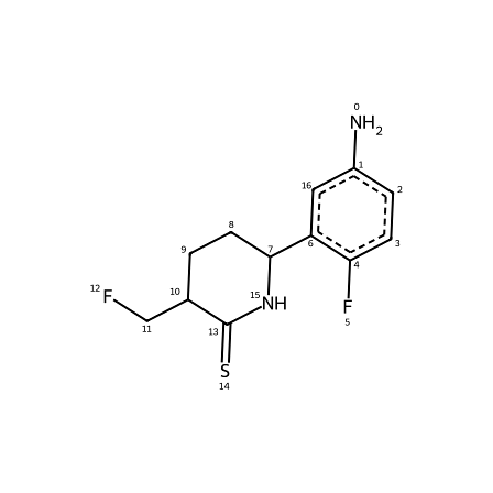 Nc1ccc(F)c(C2CCC(CF)C(=S)N2)c1